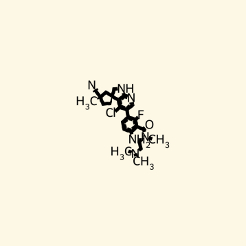 CN(C)CCN(C)C(=O)c1c(N)ccc(-c2cnc3c(c2Cl)[C@@]2(CC[C@](C)(C#N)C2)CN3)c1F